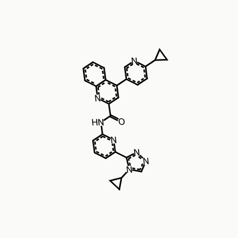 O=C(Nc1cccc(-c2nncn2C2CC2)n1)c1cc(-c2ccc(C3CC3)nc2)c2ccccc2n1